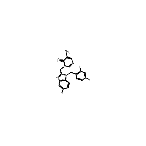 Nc1cncn(Cc2nc3cc(F)ccc3n2Cc2ccc(F)cc2F)c1=O